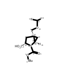 CC(C)(C)OC(=O)N1[C@H](C(=O)O)C[C@@]2(COC(F)F)C[C@@H]12